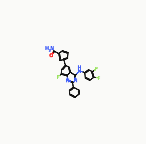 NC(=O)c1cccc(-c2cc(F)c3nc(-c4ccccc4)nc(Nc4ccc(F)c(F)c4)c3c2)c1